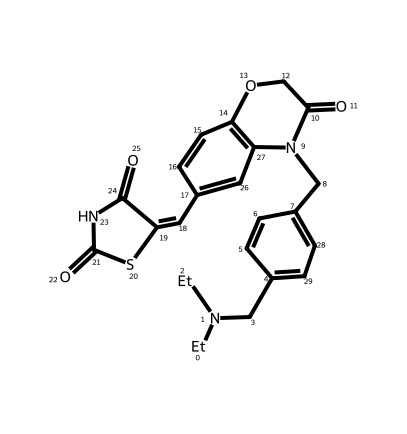 CCN(CC)Cc1ccc(CN2C(=O)COc3ccc(C=C4SC(=O)NC4=O)cc32)cc1